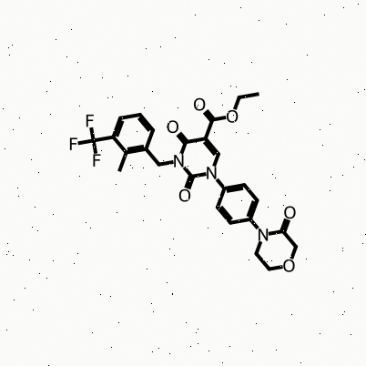 CCOC(=O)c1cn(-c2ccc(N3CCOCC3=O)cc2)c(=O)n(Cc2cccc(C(F)(F)F)c2C)c1=O